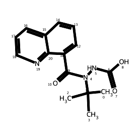 CC(C)(C)N(NC(=O)O)C(=O)c1cccc2cccnc12